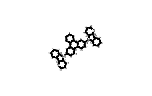 c1ccc2c(c1)c1cc(-n3c4ccccc4c4ncccc43)ccc1c1ccc(-n3c4ccccc4c4ncccc43)cc21